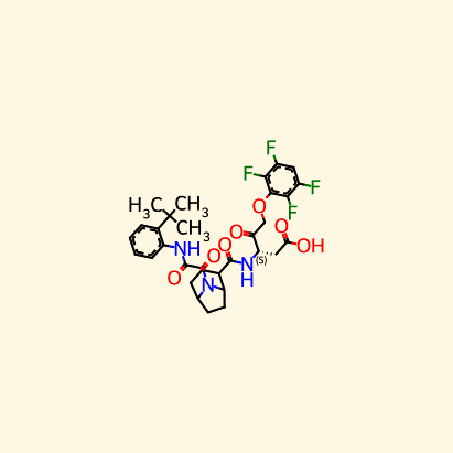 CC(C)(C)c1ccccc1NC(=O)C(=O)N1C2CCC(C(=O)N[C@@H](CC(=O)O)C(=O)COc3c(F)c(F)cc(F)c3F)C1CC2